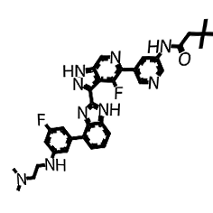 CN(C)CCNc1cc(F)cc(-c2cccc3[nH]c(-c4n[nH]c5cnc(-c6cncc(NC(=O)CC(C)(C)C)c6)c(F)c45)nc23)c1